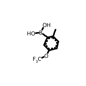 Cc1ccc(OC(F)(F)F)cc1B(O)O